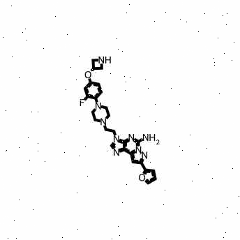 Nc1nc2c(ncn2CCN2CCN(c3ccc(OC4CNC4)cc3F)CC2)c2cc(-c3ccco3)nn12